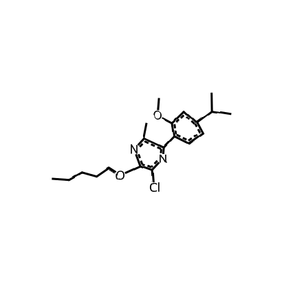 CCCCCOc1nc(C)c(-c2ccc(C(C)C)cc2OC)nc1Cl